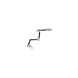 CCOPS